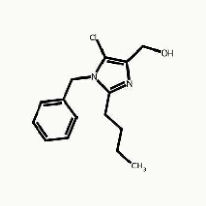 CCCCc1nc(CO)c(Cl)n1Cc1ccccc1